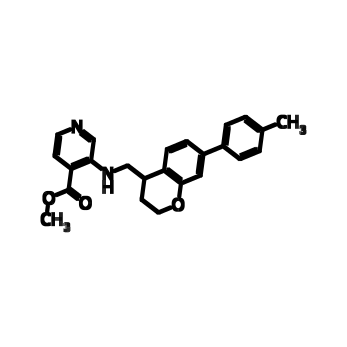 COC(=O)c1ccncc1NCC1CCOc2cc(-c3ccc(C)cc3)ccc21